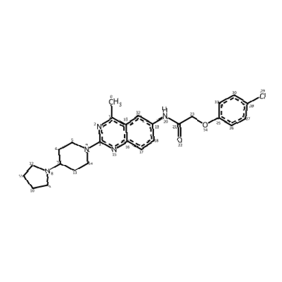 Cc1nc(N2CCC(N3CCCC3)CC2)nc2ccc(NC(=O)COc3ccc(Cl)cc3)cc12